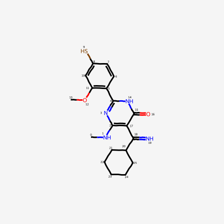 CNc1nc(-c2ccc(S)cc2OC)[nH]c(=O)c1C(=N)C1CCCCC1